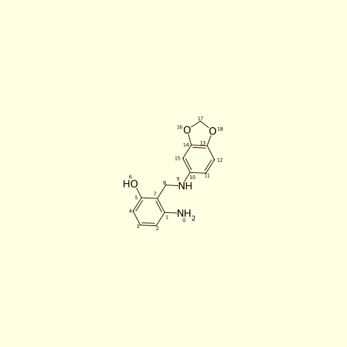 Nc1cccc(O)c1CNc1ccc2c(c1)OCO2